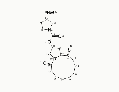 CNC1CCN(C(=O)OC2CC3C(=O)CCCCCCCC(=O)N3C2)C1